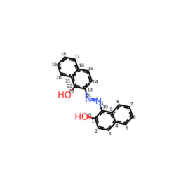 Oc1ccc2ccccc2c1N=Nc1ccc2ccccc2c1O